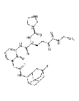 CCNC(=O)C(=O)CC[C@H](NC(=O)[C@H]1CCNC1)C(=O)Nc1cccn(CC(=O)NC2C3CC4CC2CC(F)(C4)C3)c1=O